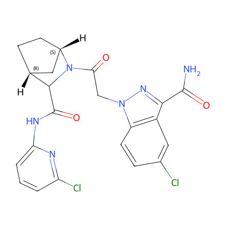 NC(=O)c1nn(CC(=O)N2C(C(=O)Nc3cccc(Cl)n3)[C@@H]3CC[C@H]2C3)c2ccc(Cl)cc12